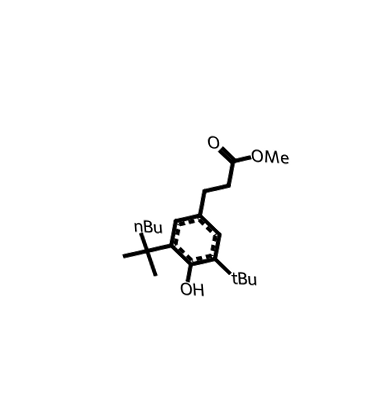 CCCCC(C)(C)c1cc(CCC(=O)OC)cc(C(C)(C)C)c1O